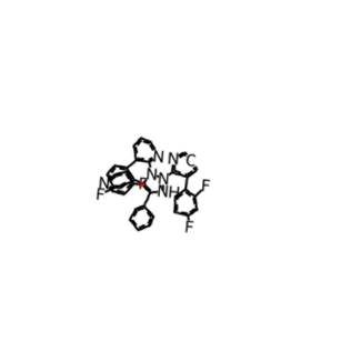 Fc1ccc(-c2cccnc2N2NC(c3ccccc3)=C(c3ccncc3)N2c2ncccc2-c2ccc(F)cc2F)c(F)c1